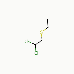 [CH2]CSCC(Cl)Cl